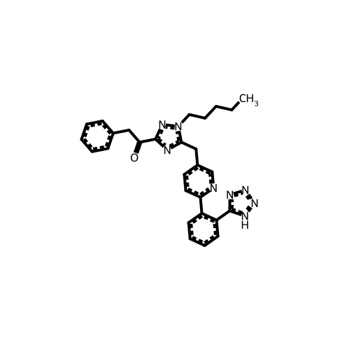 CCCCCn1nc(C(=O)Cc2ccccc2)nc1Cc1ccc(-c2ccccc2-c2nnn[nH]2)nc1